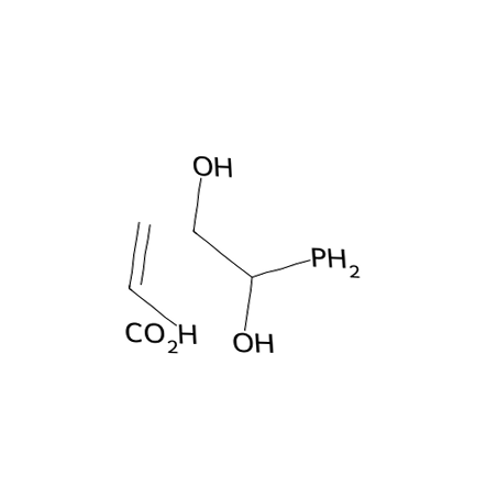 C=CC(=O)O.OCC(O)P